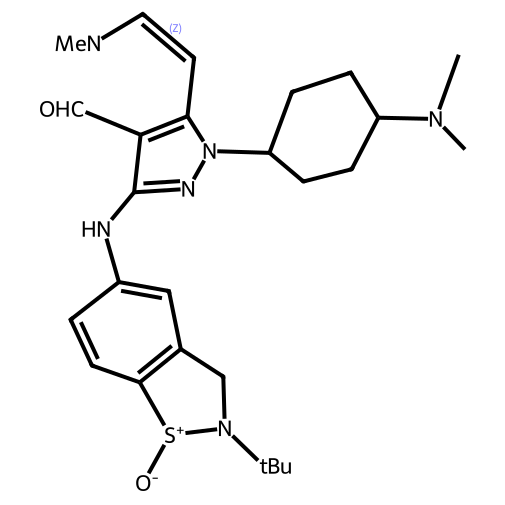 CN/C=C\c1c(C=O)c(Nc2ccc3c(c2)CN(C(C)(C)C)[S+]3[O-])nn1C1CCC(N(C)C)CC1